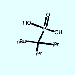 CCCCC(C(C)C)(C(C)C)P(=O)(O)O